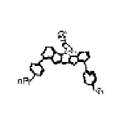 CCCc1ccc(-c2cccc3c2C=C(C)[CH]3[Zr+2]2([CH]3C(C)=Cc4c(-c5ccc(CCC)cc5)cccc43)[CH2]C[CH2]2)cc1.[Cl-].[Cl-]